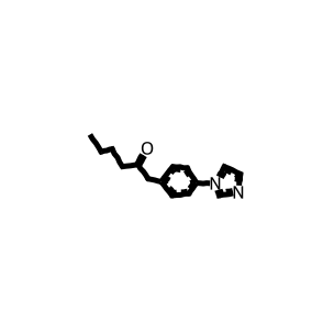 CCCCC(=O)Cc1ccc(-n2ccnc2)cc1